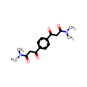 CN(C)C(=O)CC(=O)c1ccc(C(=O)CC(=O)N(C)C)cc1